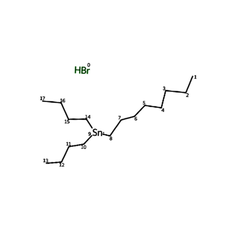 Br.CCCCCCC[CH2][Sn]([CH2]CCC)[CH2]CCC